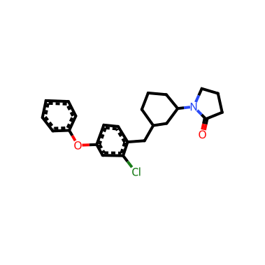 O=C1CCCN1C1CCCC(Cc2ccc(Oc3ccccc3)cc2Cl)C1